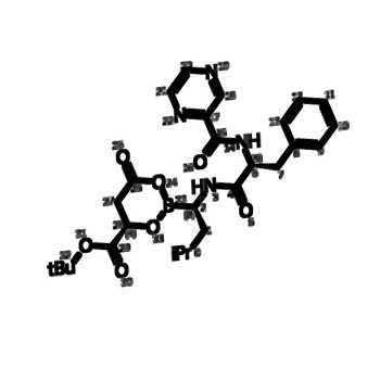 CC(C)C[C@H](NC(=O)[C@H](Cc1ccccc1)NC(=O)c1cnccn1)B1OC(=O)C[C@H](C(=O)OC(C)(C)C)O1